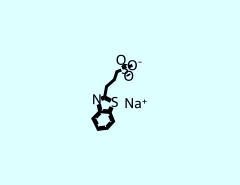 O=S(=O)([O-])CCCc1nc2ccccc2s1.[Na+]